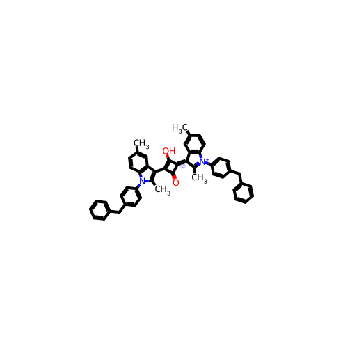 CC1=[N+](c2ccc(Cc3ccccc3)cc2)c2ccc(C)cc2/C1=C1/C(=O)C(c2c(C)n(-c3ccc(Cc4ccccc4)cc3)c3ccc(C)cc23)=C1O